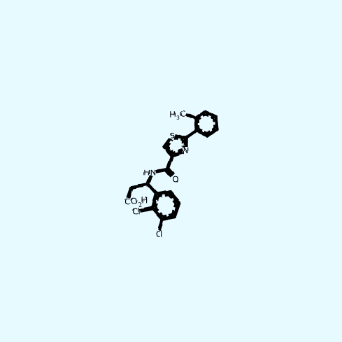 Cc1ccccc1-c1nc(C(=O)NC(CC(=O)O)c2cccc(Cl)c2Cl)cs1